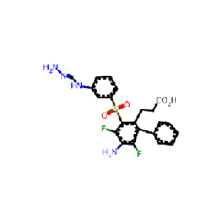 NN=CNc1cccc(S(=O)(=O)c2c(F)c(N)c(F)c(-c3ccccc3)c2CCC(=O)O)c1